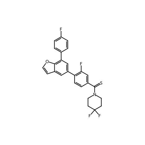 Fc1ccc(-c2cc(-c3ccc(C(=S)N4CCC(F)(F)CC4)cc3F)cc3ccoc23)cc1